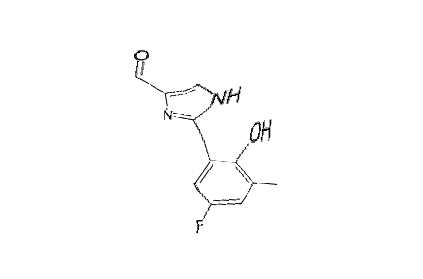 Cc1cc(F)cc(-c2nc(C=O)c[nH]2)c1O